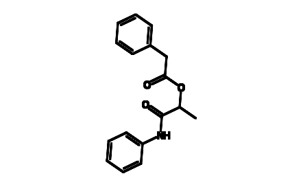 CC(OC(=O)Cc1ccccc1)C(=O)Nc1ccccc1